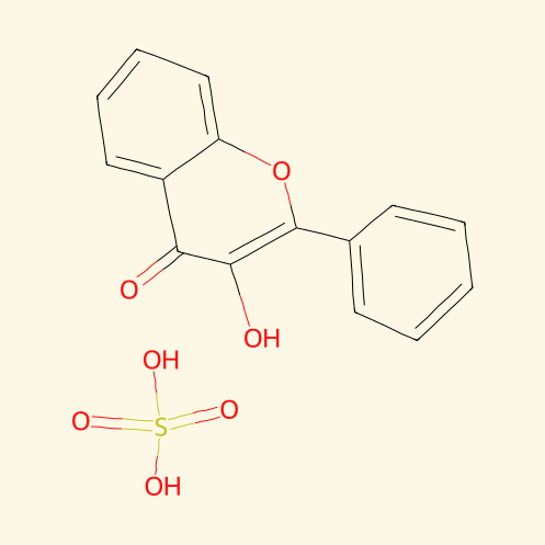 O=S(=O)(O)O.O=c1c(O)c(-c2ccccc2)oc2ccccc12